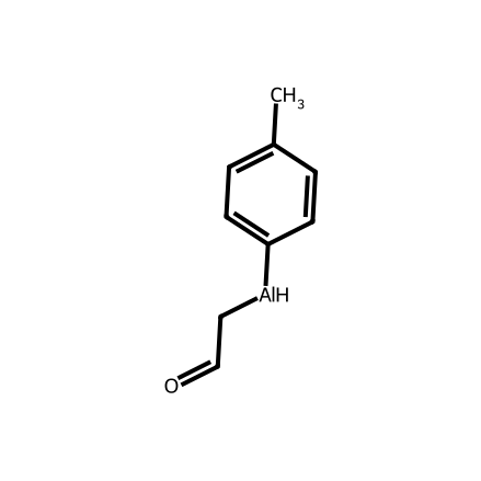 Cc1cc[c]([AlH][CH2]C=O)cc1